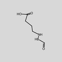 O=CBNCCCC(=O)O